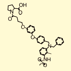 Cc1c(NS(C)(=O)=O)cccc1N(Cc1ccccc1)Cc1ccc(Oc2cccc(OCCCC(=O)N3CCCC3C(=O)O)c2)cc1